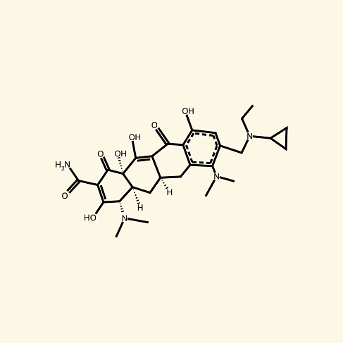 CCN(Cc1cc(O)c2c(c1N(C)C)C[C@H]1C[C@H]3[C@H](N(C)C)C(O)=C(C(N)=O)C(=O)[C@@]3(O)C(O)=C1C2=O)C1CC1